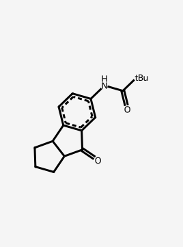 CC(C)(C)C(=O)Nc1ccc2c(c1)C(=O)C1CCCC21